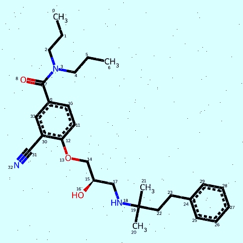 CCCN(CCC)C(=O)c1ccc(OC[C@H](O)CNC(C)(C)CCc2ccccc2)c(C#N)c1